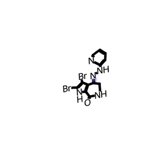 O=C1NCC/C(=N\Nc2ccccn2)c2c1[nH]c(Br)c2Br